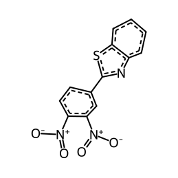 O=[N+]([O-])c1ccc(-c2nc3ccccc3s2)cc1[N+](=O)[O-]